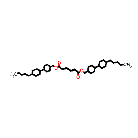 CCCCCC1CCC(C2CCC(COC(=O)CCCCC(=O)OCC3CCC(C4CCC(CCCCC)CC4)CC3)CC2)CC1